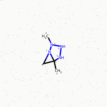 CN1NNC2(C)CN12